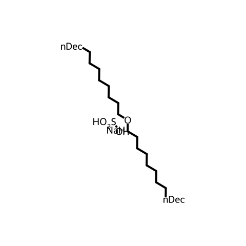 CCCCCCCCCCCCCCCCCCOCCCCCCCCCCCCCCCCCC.O=S(=O)(O)O.[NaH]